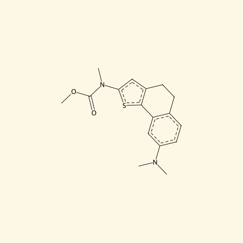 COC(=O)N(C)c1cc2c(s1)-c1cc(N(C)C)ccc1CC2